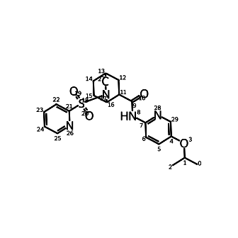 CC(C)Oc1ccc(NC(=O)C2CC3CCC2N(S(=O)(=O)c2ccccn2)C3)nc1